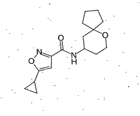 O=C(NC1CCOC2(CCCC2)C1)c1cc(C2CC2)on1